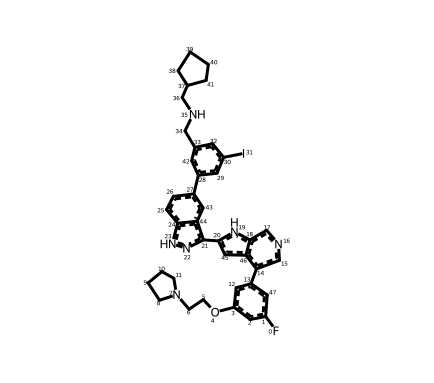 Fc1cc(OCCN2CCCC2)cc(-c2cncc3[nH]c(-c4n[nH]c5ccc(-c6cc(I)cc(CNCC7CCCC7)c6)cc45)cc23)c1